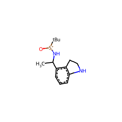 CC(N[S+]([O-])C(C)(C)C)c1cccc2c1CCN2